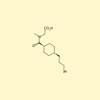 CC(C)CCC[C@H]1CC[C@@H](C(=O)N(C)CC(=O)O)CC1